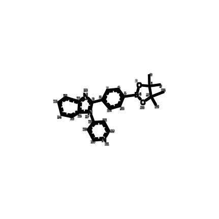 CC1(C)OB(c2ccc(-c3nc4ccccc4n3-c3ccncc3)cc2)OC1(C)C